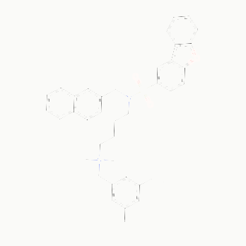 CC[N+](CC)(CCCCN(Cc1ccc2ccccc2c1)S(=O)(=O)c1ccc2oc3ccccc3c2c1)Cc1cc(C)cc(C)c1